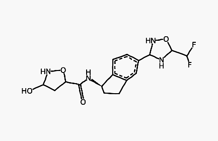 O=C(N[C@@H]1CCc2cc(C3NOC(C(F)F)N3)ccc21)C1CC(O)NO1